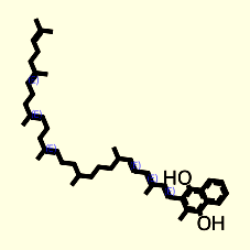 CC(C)=CCC/C(C)=C/CC/C(C)=C/CC/C(C)=C/CCC(C)CCCC(C)/C=C/C=C(C)/C=C/c1c(C)c(O)c2ccccc2c1O